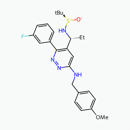 CC[C@@H](N[S@+]([O-])C(C)(C)C)c1cc(NCc2ccc(OC)cc2)nnc1-c1cccc(F)c1